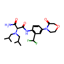 CC(C)CN(CC(C)C)[C@@H](C(N)=O)C(=O)Nc1ccc(N2CCOCC2=O)cc1C(F)F